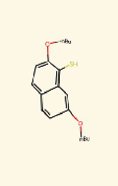 CCCCOc1ccc2ccc(OCCCC)c(S)c2c1